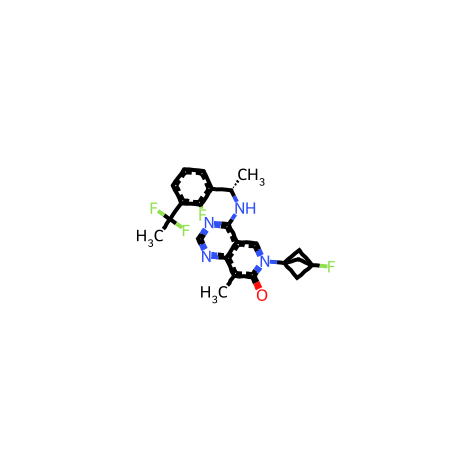 Cc1c(=O)n(C23CC(F)(C2)C3)cc2c(N[C@@H](C)c3cccc(C(C)(F)F)c3F)ncnc12